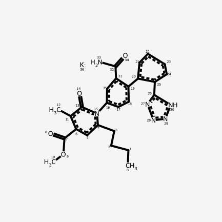 CCCCc1cc(C(=O)OC)c(C)c(=O)n1-c1ccc(-c2ccccc2-c2nnn[nH]2)c(C(N)=O)c1.[K]